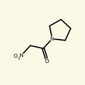 O=C(C[N+](=O)[O-])N1CCCC1